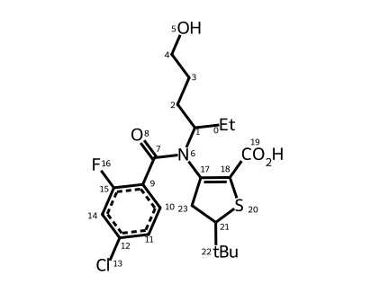 CCC(CCCO)N(C(=O)c1ccc(Cl)cc1F)C1=C(C(=O)O)SC(C(C)(C)C)C1